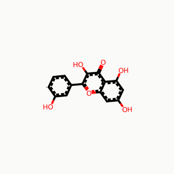 O=c1c(O)c(-c2cc[c]c(O)c2)oc2cc(O)cc(O)c12